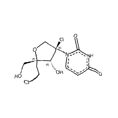 O=c1ccn([C@@]2(Cl)CO[C@@](CO)(CCl)[C@H]2O)c(=O)[nH]1